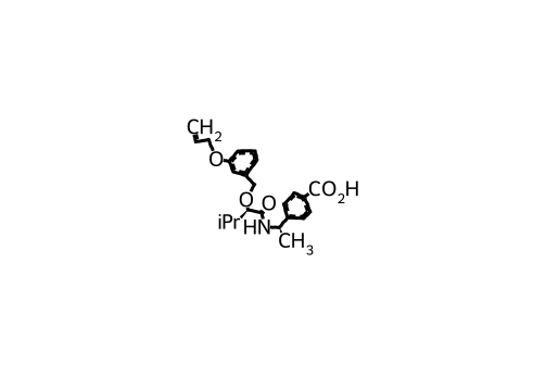 C=CCOc1cccc(CO[C@@H](C(=O)N[C@@H](C)c2ccc(C(=O)O)cc2)C(C)C)c1